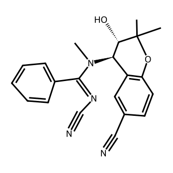 CN(C(=NC#N)c1ccccc1)[C@@H]1c2cc(C#N)ccc2OC(C)(C)[C@H]1O